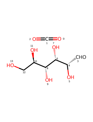 O=C=O.O=C[C@H](O)[C@@H](O)[C@H](O)[C@H](O)CO